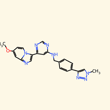 COc1ccn2c(-c3cc(NCc4ccc(-c5cn(C)nn5)cc4)ncn3)cnc2c1